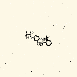 C=C(C)C(=O)Nc1ccc(NC(=O)c2ccccc2C(C)(C)C)c(O)c1